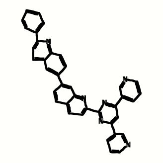 c1ccc(-c2ccc3cc(-c4ccc5ccc(-c6nc(-c7cccnc7)cc(-c7cccnc7)n6)nc5c4)ccc3n2)cc1